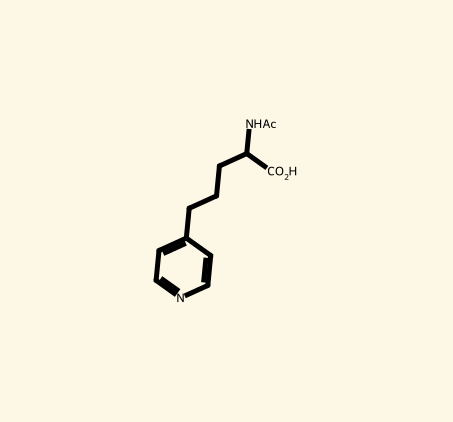 CC(=O)NC(CCCc1ccncc1)C(=O)O